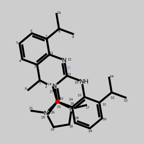 CC(C)c1cccc(C(C)C)c1/N=C(\N=C1N(C)CCN1C)Nc1c(C(C)C)cccc1C(C)C